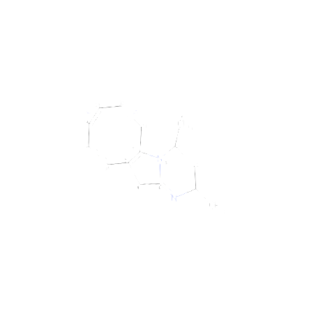 CC1CC(C)N2C(=N1)CC1=C2\C=C/C=C\C=C/1